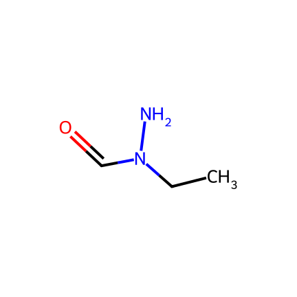 CCN(N)C=O